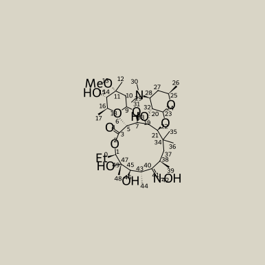 CC[C@H]1OC(=O)[C@H](C)[C@@H](OC2C[C@@](C)(OC)[C@@H](O)[C@H](C)O2)[C@H](C)[C@@H](OC2O[C@H](C)C[C@H](N(C)C)[C@H]2O)C(C)(C)C[C@@H](C)/C(=N\O)[C@H](C)[C@@H](O)[C@]1(C)O